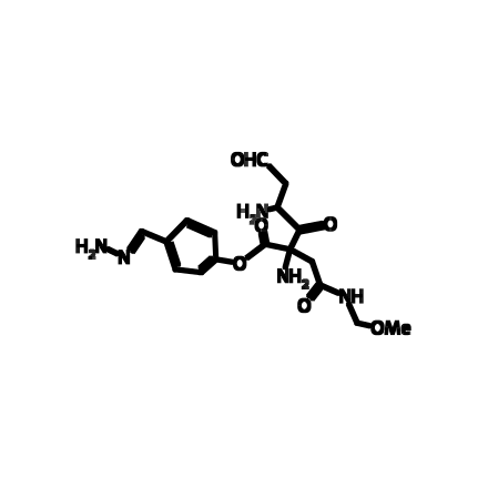 COCNC(=O)CC(N)(C(=O)Oc1ccc(C=NN)cc1)C(=O)C(N)CC=O